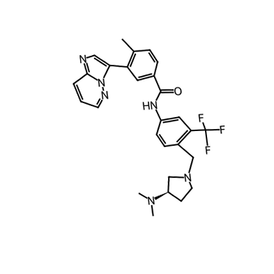 Cc1ccc(C(=O)Nc2ccc(CN3CC[C@@H](N(C)C)C3)c(C(F)(F)F)c2)cc1-c1cnc2cccnn12